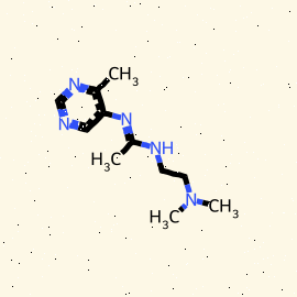 C/C(=N\c1cncnc1C)NCCN(C)C